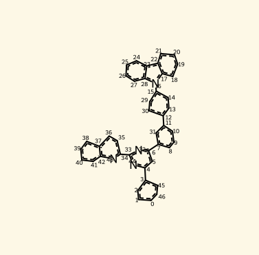 c1ccc(-c2cc(-c3cccc(-c4ccc(-n5c6ccccc6c6ccccc65)cc4)c3)nc(-c3ccc4ccccc4n3)n2)cc1